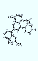 FC(F)(F)c1cc2c(-c3nc(N4CCNCC4)c4c(C5CC5)cnc(Cl)c4n3)ccnc2[nH]1